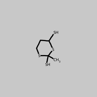 CC1(S)SCCC(S)S1